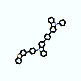 c1ccc(-n2c3ccccc3c3cc(-c4ccc(-c5ccc6c(c5)c5ccccc5n6-c5ccc(-c6ccc7sc8ccccc8c7c6)cc5)cc4)ccc32)cc1